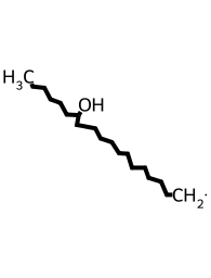 [CH2]CCCCCCCCCCCC(O)CCCCCC